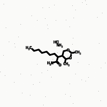 CCCCCCCC(C(N)=O)C1COP(C)OC1C.Cl.N